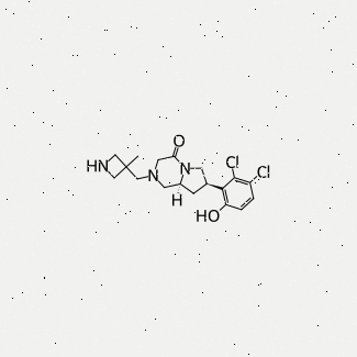 CC1(CN2CC(=O)N3C[C@@H](c4c(O)ccc(Cl)c4Cl)C[C@H]3C2)CNC1